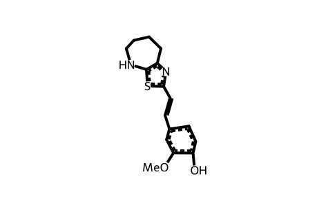 COc1cc(/C=C/c2nc3c(s2)NCCCC3)ccc1O